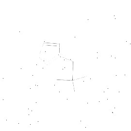 CC(C)(C)C[n+]1ccsc1